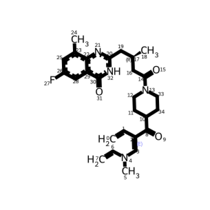 C=C/C(=C\N(C)C=C)C(=O)C1CCN(C(=O)C[C@H](C)Cc2nc3c(C)cc(F)cc3c(=O)[nH]2)CC1